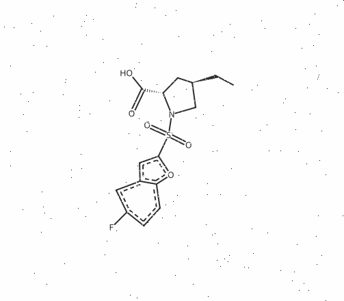 CC[C@@H]1C[C@@H](C(=O)O)N(S(=O)(=O)c2cc3cc(F)ccc3o2)C1